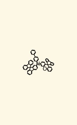 c1ccc(-c2ccc(N(c3ccc4c(c3)Oc3ccccc3C43c4ccccc4-c4ccccc43)c3ccc4c(c3)C3(c5ccccc5-c5ccccc53)c3ccccc3-4)cc2)cc1